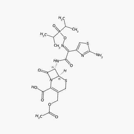 CC(=O)OCC1=C(C(=O)O)N2C(=O)[C@H](NC(=O)C(=NOP(=O)(C(C)C)C(C)C)c3csc(N)n3)[C@H]2SC1